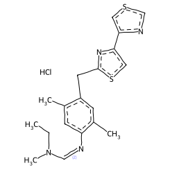 CCN(C)/C=N\c1cc(C)c(Cc2nc(-c3cscn3)cs2)cc1C.Cl